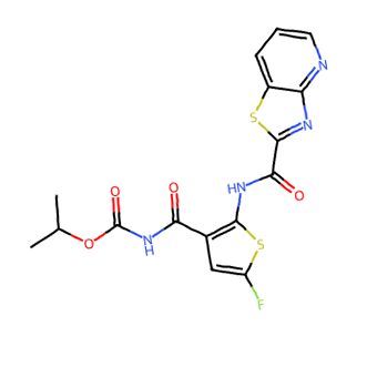 CC(C)OC(=O)NC(=O)c1cc(F)sc1NC(=O)c1nc2ncccc2s1